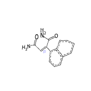 NC(=O)/C=C(\C(N)=O)c1cccc2ccccc12